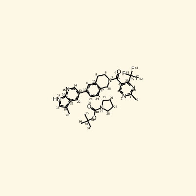 Cc1ncc(C(=O)N2CCc3cc(-c4cnc5[nH]cc(C)c5c4)cc([C@@H]4CCCN4C(=O)OC(C)(C)C)c3C2)c(C(F)(F)F)n1